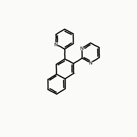 [c]1c(-c2ncccn2)c(-c2ccccn2)cc2ccccc12